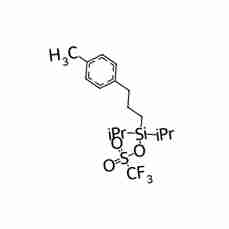 Cc1ccc(CCC[Si](OS(=O)(=O)C(F)(F)F)(C(C)C)C(C)C)cc1